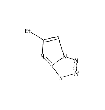 CCc1cn2nnsc2n1